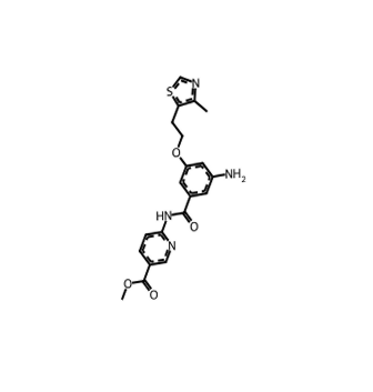 COC(=O)c1ccc(NC(=O)c2cc(N)cc(OCCc3scnc3C)c2)nc1